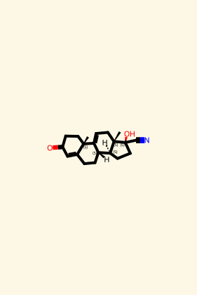 C[C@]12CCC(=O)C=C1CC[C@@H]1C2=CC[C@@]2(C)[C@H]1CC[C@@]2(O)C#N